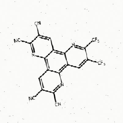 N#Cc1cc2c(nc1C#N)c1cc(C#N)c(C#N)nc1c1cc(C(F)(F)F)c(C(F)(F)F)nc21